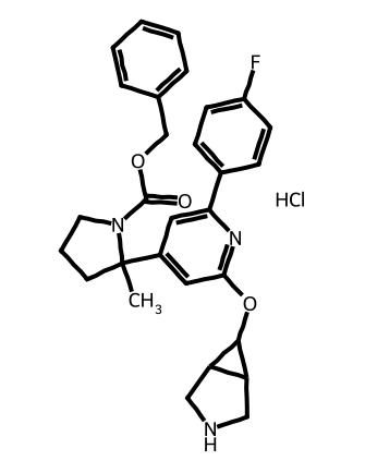 CC1(c2cc(OC3C4CNCC43)nc(-c3ccc(F)cc3)c2)CCCN1C(=O)OCc1ccccc1.Cl